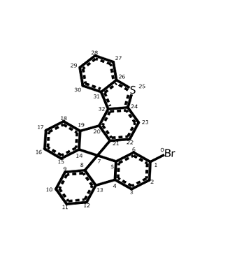 Brc1ccc2c(c1)C1(c3ccccc3-2)c2ccccc2-c2c1ccc1sc3ccccc3c21